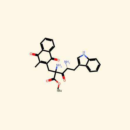 CC1=C(CC(N)(C(=O)OC(C)(C)C)C(=O)[C@H](N)Cc2c[nH]c3ccccc23)C(=O)c2ccccc2C1=O